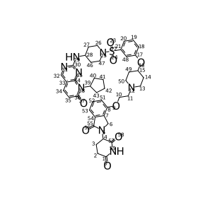 O=C1CCC(N2Cc3c(OCCN4CCC(Oc5cccc(S(=O)(=O)N6CCC(Nc7ncc8ccc(=O)n(C9CCCC9)c8n7)CC6)c5)CC4)cccc3C2=O)C(=O)N1